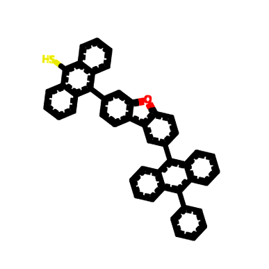 Sc1c2ccccc2c(-c2ccc3c(c2)oc2ccc(-c4c5ccccc5c(-c5ccccc5)c5ccccc45)cc23)c2ccccc12